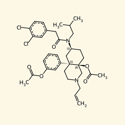 C=CCN1CC[C@@]2(c3cccc(OC(C)=O)c3)C[C@@H](N(CC(C)C)C(=O)Cc3ccc(Cl)c(Cl)c3)CC[C@]2(OC(C)=O)C1